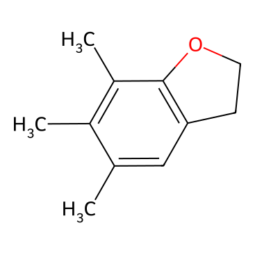 Cc1cc2c(c(C)c1C)OCC2